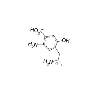 C[C@H](N)Cc1cc(N)c(C(=O)O)cc1O